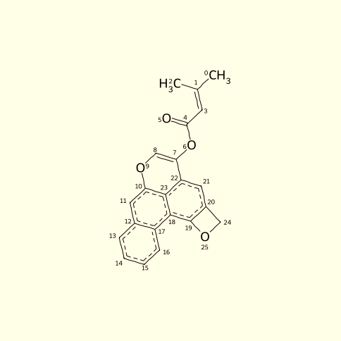 CC(C)=CC(=O)OC1=COc2cc3ccccc3c3c4c(cc1c23)CO4